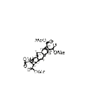 COC(=O)C1C2CC(C3=CC4C(C=C32)C2CC4C(C(=O)OC)C2C(=O)OC)C1C(=O)OC